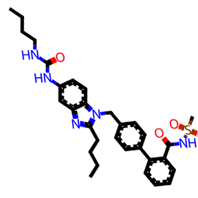 CCCCNC(=O)Nc1ccc2c(c1)nc(CCCC)n2Cc1ccc(-c2ccccc2C(=O)NS(C)(=O)=O)cc1